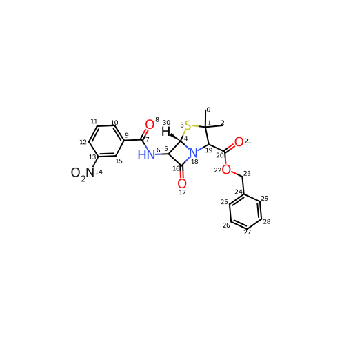 CC1(C)S[C@H]2C(NC(=O)c3cccc([N+](=O)[O-])c3)C(=O)N2C1C(=O)OCc1ccccc1